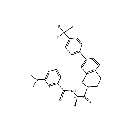 C[C@@H](NC(=O)c1cccc(N(C)C)n1)C(=O)N1CCc2ccc(-c3ccc(C(F)(F)F)cc3)cc2C1